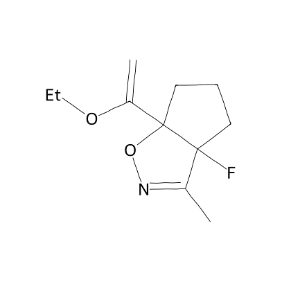 C=C(OCC)C12CCCC1(F)C(C)=NO2